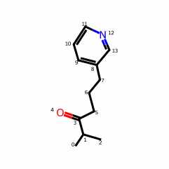 CC(C)C(=O)CCCc1cccnc1